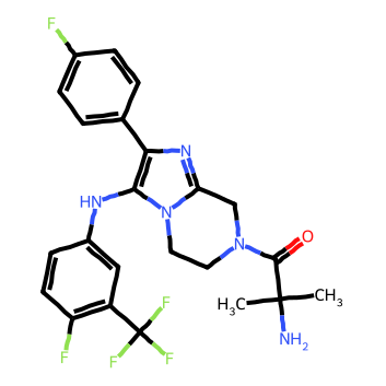 CC(C)(N)C(=O)N1CCn2c(nc(-c3ccc(F)cc3)c2Nc2ccc(F)c(C(F)(F)F)c2)C1